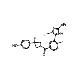 CCCc1nc(Cl)c(-c2cc(C(=O)N3CC(F)(c4ccc(C#N)cc4)C3)ccc2C)[nH]1